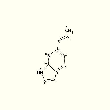 C/C=C/c1ccc2cc[nH]c2n1